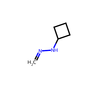 C=NNC1CCC1